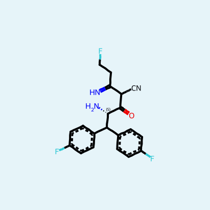 N#CC(C(=N)CCF)C(=O)[C@@H](N)C(c1ccc(F)cc1)c1ccc(F)cc1